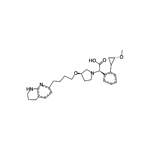 CO[C@H]1CC1c1ccccc1[C@H](C(=O)O)N1CC[C@@H](OCCCCc2ccc3c(n2)NCCC3)C1